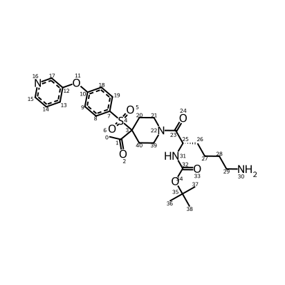 CC(=O)C1(S(=O)(=O)c2ccc(Oc3cccnc3)cc2)CCN(C(=O)[C@H](CCCCN)NC(=O)OC(C)(C)C)CC1